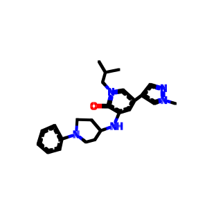 CC(C)Cn1cc(-c2cnn(C)c2)cc(NC2CCN(c3ccccc3)CC2)c1=O